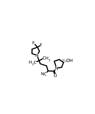 CC(C)(CCC(C#N)C(=O)N1CC[C@H](O)C1)N1CCC(F)(F)C1